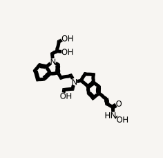 O=C(/C=C/c1ccc2c(c1)CCC2N(CCO)CCc1cn(CC(O)CO)c2ccccc12)NO